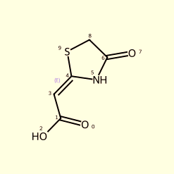 O=C(O)/C=C1\NC(=O)CS1